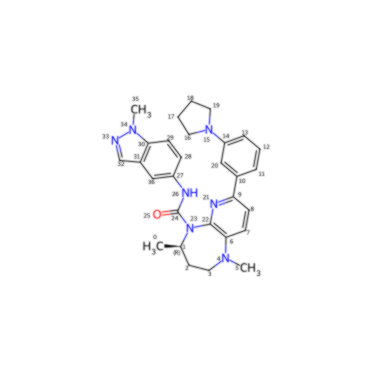 C[C@@H]1CCN(C)c2ccc(-c3cccc(N4CCCC4)c3)nc2N1C(=O)Nc1ccc2c(cnn2C)c1